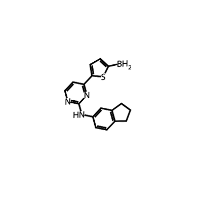 Bc1ccc(-c2ccnc(Nc3ccc4c(c3)CCC4)n2)s1